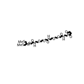 CSCC(CSC)=NOCC(=O)NCCOCCOCC(=O)NCCOCCOCC(=O)NCCN1C(=O)C=CC1=O